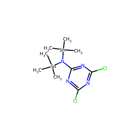 [CH3][Sn]([CH3])([CH3])[N](c1nc(Cl)nc(Cl)n1)[Sn]([CH3])([CH3])[CH3]